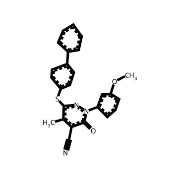 COc1cccc(-n2nc(Sc3ccc(-c4ccccc4)cc3)c(C)c(C#N)c2=O)c1